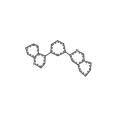 c1cc(-c2cc3ccccc3cn2)cc(-c2ccnc3ccccc23)c1